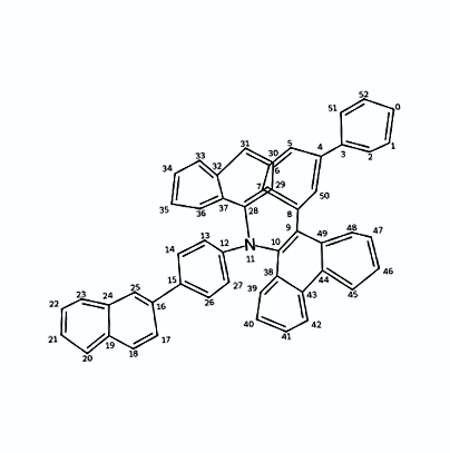 c1ccc(-c2cccc(-c3c(N(c4ccc(-c5ccc6ccccc6c5)cc4)c4cccc5ccccc45)c4ccccc4c4ccccc34)c2)cc1